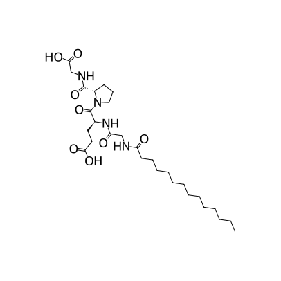 CCCCCCCCCCCCCC(=O)NCC(=O)N[C@@H](CCC(=O)O)C(=O)N1CCC[C@H]1C(=O)NCC(=O)O